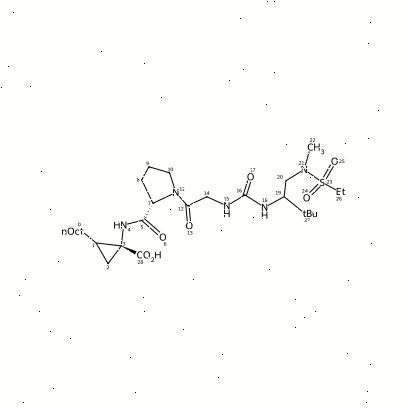 CCCCCCCCC1C[C@]1(NC(=O)[C@@H]1CCCN1C(=O)CNC(=O)NC(CN(C)S(=O)(=O)CC)C(C)(C)C)C(=O)O